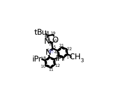 Cc1ccc(/C(=N\c2c(C(C)C)cccc2C(C)C)C2=N[C@@H](C(C)(C)C)CO2)cc1